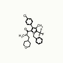 Cc1c(-c2ccc(Cl)cc2)c(C(=O)N(C)CC2CCOCC2)n(Cc2ccccc2)c1C(F)(F)F